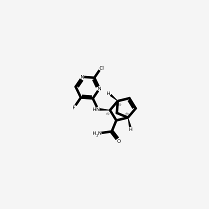 NC(=O)C1[C@@H](Nc2nc(Cl)ncc2F)[C@@H]2C=C[C@H]1C2